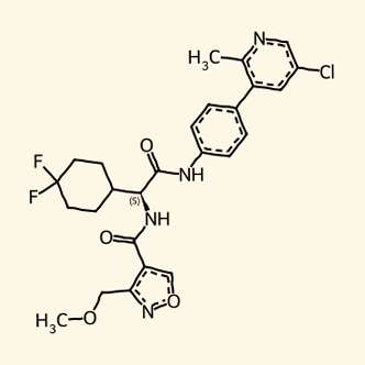 COCc1nocc1C(=O)N[C@H](C(=O)Nc1ccc(-c2cc(Cl)cnc2C)cc1)C1CCC(F)(F)CC1